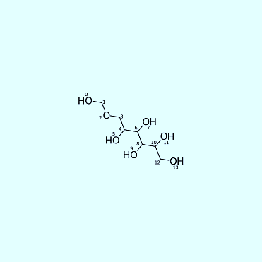 OCOCC(O)C(O)C(O)C(O)CO